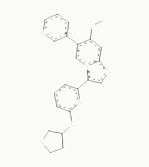 COc1cc2ncc(-c3cccc(NC4CCNC4)n3)n2cc1-c1cccnc1